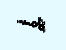 CC(c1ccc(F)cc1Cl)N1CCC(CCNC(=O)O)CC1